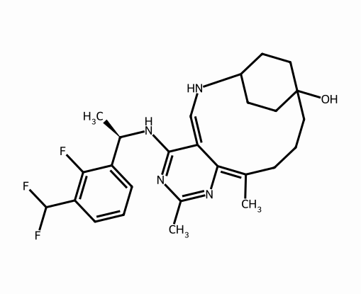 C/C1=c2\nc(C)nc(N[C@H](C)c3cccc(C(F)F)c3F)\c2=C\NC2CCC(O)(CCC1)CC2